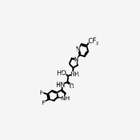 O=C(Nc1c[nH]c2cc(F)c(F)cc12)C(O)NC1CCN(c2ccc(C(F)(F)F)cn2)C1